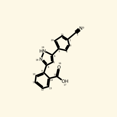 N#Cc1ccc(-c2cc(-c3ccccc3C(=O)O)n[nH]2)cc1